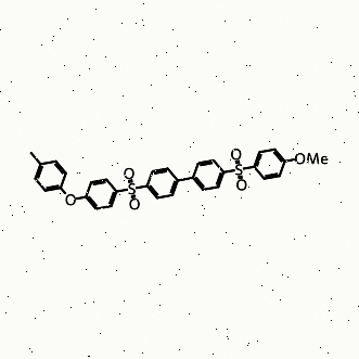 COc1ccc(S(=O)(=O)c2ccc(-c3ccc(S(=O)(=O)c4ccc(Oc5ccc(C)cc5)cc4)cc3)cc2)cc1